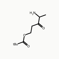 CC(N)C(=O)CCOC(=O)C(C)(C)C